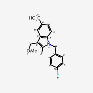 COCc1c(C)n(Cc2ccc(F)cc2)c2ccc(C(=O)O)cc12